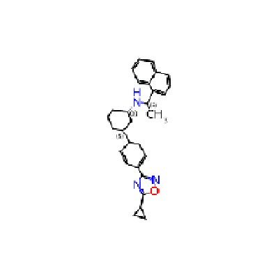 C[C@@H](N[C@H]1CCC[C@H](C2C=CC(c3noc(C4CC4)n3)=CC2)C1)c1cccc2ccccc12